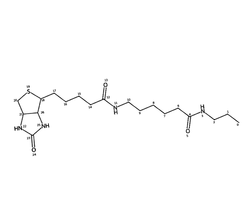 CCCNC(=O)CCCCCNC(=O)CCCCC1SCC2NC(=O)NC21